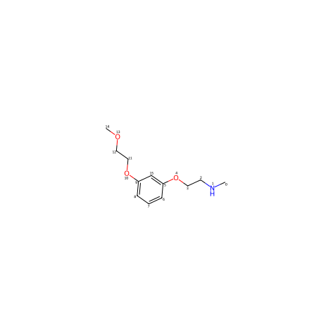 CNCCOc1cccc(OCCOC)c1